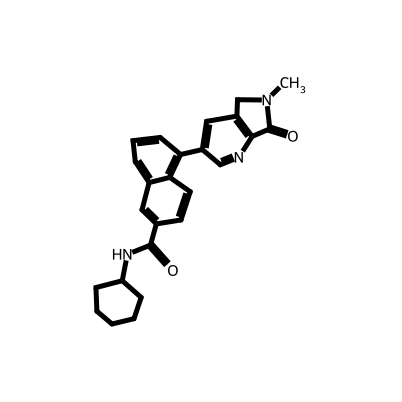 CN1Cc2cc(-c3cccc4cc(C(=O)NC5CCCCC5)ccc34)cnc2C1=O